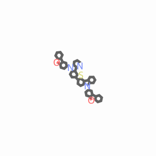 c1ccc2c(c1)oc1ccc(-n3c4ccccc4c4c5sc6c(ccc7c6c6ncccc6n7-c6ccc7oc8ccccc8c7c6)c5ccc43)cc12